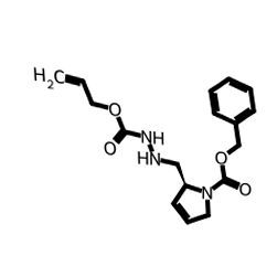 C=CCOC(=O)NNC[C@@H]1C=CCN1C(=O)OCc1ccccc1